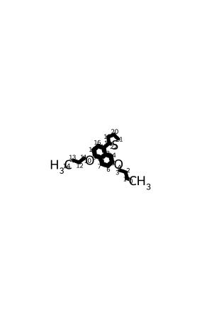 CCCCOc1ccc2c(OCCCC)ccc(C3CCCS3)c2c1